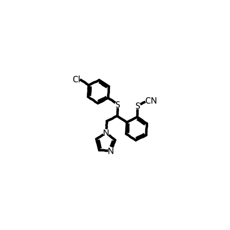 N#CSc1ccccc1C(Cn1ccnc1)Sc1ccc(Cl)cc1